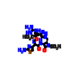 CC(C)(ON=C(C(=O)N[C@@H]1C(=O)N(S(=O)(=O)O)[C@H]1Cn1cc(CNC(=N)N)nn1)c1csc(N)n1)C(=O)O